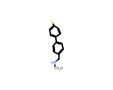 O=C(O)NCc1ccc(-c2ccc(F)cc2)cc1